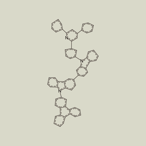 c1ccc(-c2cc(-c3ccccc3)nc(-c3cccc(-n4c5ccccc5c5ccc(-c6ccc7c(c6)c6ccccc6n7-c6ccc7c8ccccc8c8ccccc8c7c6)cc54)c3)c2)cc1